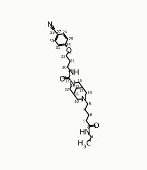 CCNC(=O)CCCCN1CC2CC(C1)CN(C(=O)NCCCOc1ccc(C#N)cc1)C2